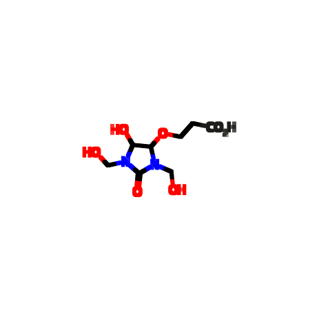 O=C(O)CCOC1C(O)N(CO)C(=O)N1CO